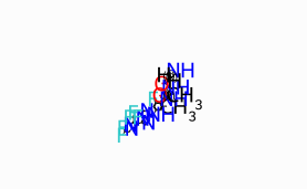 Cc1cc(Nc2nccn3c(-c4cn(CC(F)F)nc4C(F)(F)F)cnc23)cc(F)c1C(=O)N[C@H](C)CNC(=O)C1[C@H]2CNC[C@@H]12